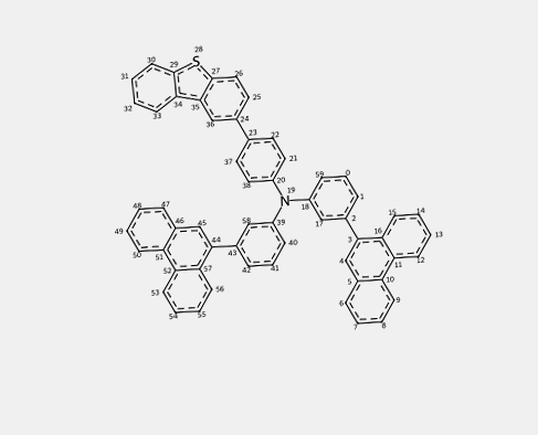 c1cc(-c2cc3ccccc3c3ccccc23)cc(N(c2ccc(-c3ccc4sc5ccccc5c4c3)cc2)c2cccc(-c3cc4ccccc4c4ccccc34)c2)c1